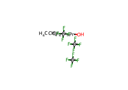 C.C.C.CCCO.F[B-](F)(F)F.F[B-](F)(F)F.F[B-](F)(F)F